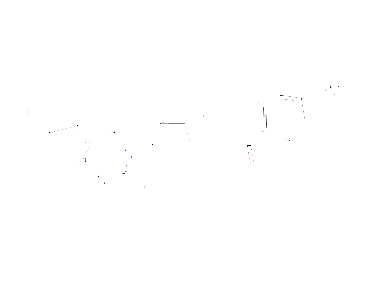 COc1ccc(C(=O)OC[C@@H]2O[C@H](n3cc(/C=C/Br)c(=O)[nH]c3=O)CC2O)cc1